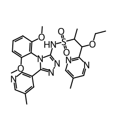 CCOC(c1ncc(C)cn1)C(C)S(=O)(=O)Nc1nnc(-c2cncc(C)c2)n1-c1c(OC)cccc1OC